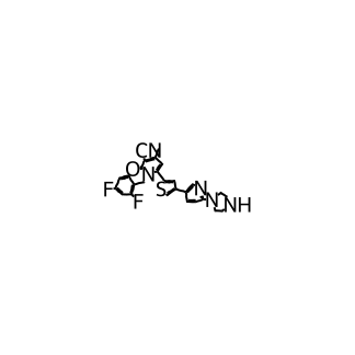 Cc1cc(-c2cc(-c3ccc(N4CCNCC4)nc3)cs2)n(Cc2ccc(F)cc2F)c(=O)c1C#N